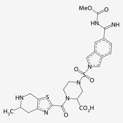 COC(=O)NC(=N)c1ccc2cn(S(=O)(=O)N3CCN(C(=O)c4nc5c(s4)CNC(C)C5)C(C(=O)O)C3)cc2c1